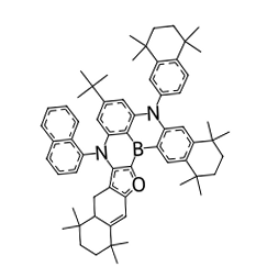 CC1(C)CCC(C)(C)C2Cc3c(oc4c3N(c3cccc5ccccc35)c3cc(C(C)(C)C)cc5c3B4c3cc4c(cc3N5c3ccc5c(c3)C(C)(C)CCC5(C)C)C(C)(C)CCC4(C)C)C=C21